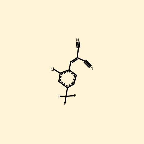 N#CC(C#N)=Cc1ccc(C(F)(F)F)cc1Cl